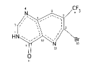 O=c1[nH]cnc2cc(C(F)(F)F)c(Br)nc12